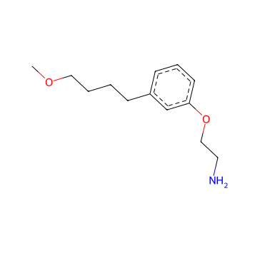 COCCCCc1cccc(OCCN)c1